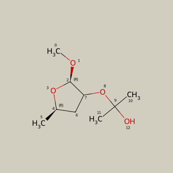 CO[C@@H]1O[C@H](C)CC1OC(C)(C)O